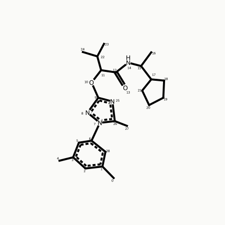 Cc1cc(C)cc(-n2nc(OC(C(=O)NC(C)C3CCCC3)C(C)C)nc2C)c1